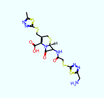 Cc1nnc(SCC2=C(C(=O)O)N3C(=O)C(NC(=O)CSc4nnc(CN)s4)[C@H]3SC2)s1